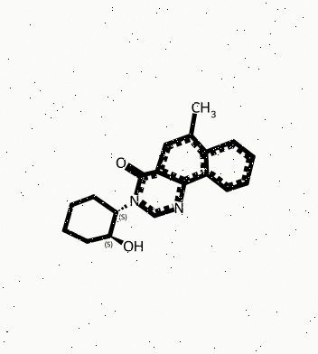 Cc1cc2c(=O)n([C@H]3CCCC[C@@H]3O)cnc2c2ccccc12